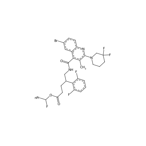 CCCC(F)OC(=O)CCC(CNC(=O)c1c(C)c(N2CCCC(F)(F)C2)nc2ccc(Br)cc12)c1c(F)cccc1F